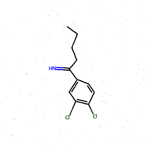 CCCCC(=N)c1ccc(Cl)c(Cl)c1